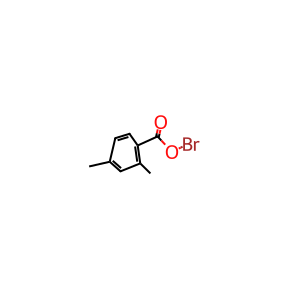 Cc1ccc(C(=O)OBr)c(C)c1